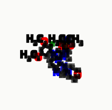 COc1cc(OC)c(F)c(N(Cc2nccn2S(=O)(=O)N(C)C)c2ccc3ncc(N4CCOCC4)nc3n2)c1